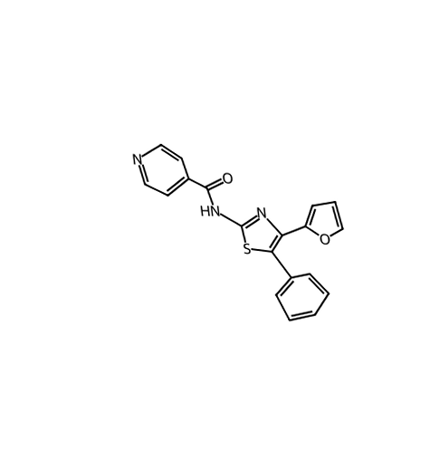 O=C(Nc1nc(-c2ccco2)c(-c2ccccc2)s1)c1ccncc1